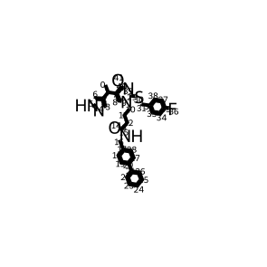 CC(c1cn[nH]c1)c1cn(CCCC(=O)NCc2ccc(-c3ccccc3)cc2)c(SCc2ccc(F)cc2)nc1=O